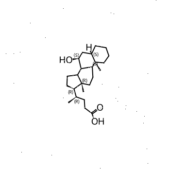 C[C@H](CCC(=O)O)[C@H]1CCC2C3C(CC[C@@]21C)[C@@]1(C)CCCC[C@H]1C[C@@H]3O